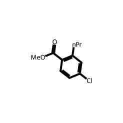 CCCc1cc(Cl)ccc1C(=O)OC